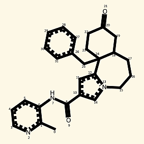 Cc1ncccc1NC(=O)c1cc2n(c1)CCCC1CC(=O)CCC21Cc1ccccc1